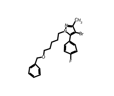 Cc1nn(CCCCCOCc2ccccc2)c(-c2ccc(F)cc2)c1Br